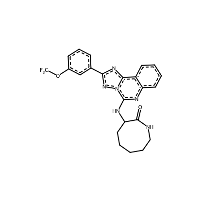 O=C1NCCCCCC1Nc1nc2ccccc2c2nc(-c3cccc(OC(F)(F)F)c3)nn12